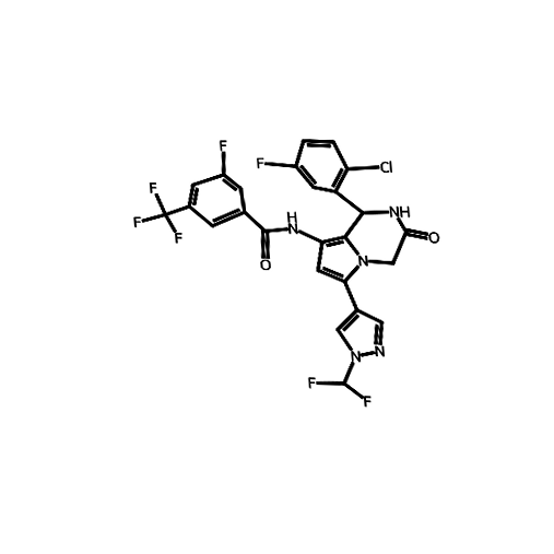 O=C1Cn2c(-c3cnn(C(F)F)c3)cc(NC(=O)c3cc(F)cc(C(F)(F)F)c3)c2C(c2cc(F)ccc2Cl)N1